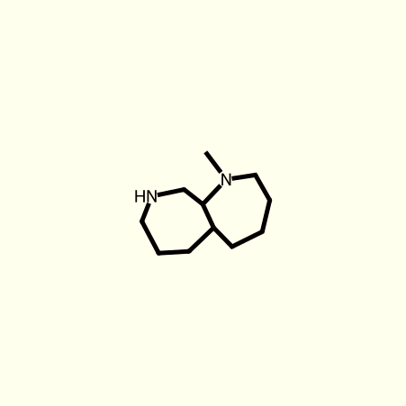 CN1CCCCC2CCCNCC21